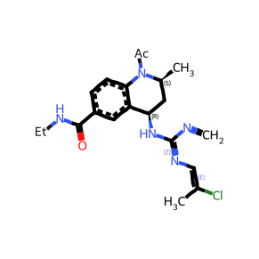 C=N/C(=N\C=C(/C)Cl)N[C@@H]1C[C@H](C)N(C(C)=O)c2ccc(C(=O)NCC)cc21